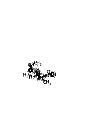 CCCN(C(=O)OCOC(=O)c1ccncc1)C(=O)c1cn2ncnc(Nc3cc(C(=O)NCC)ccc3C)c2c1C